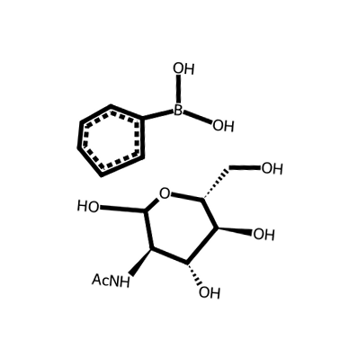 CC(=O)N[C@H]1C(O)O[C@H](CO)[C@@H](O)[C@@H]1O.OB(O)c1ccccc1